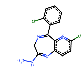 NNC1=Nc2ccc(Cl)nc2C(c2ccccc2Cl)=NC1